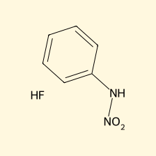 F.O=[N+]([O-])Nc1ccccc1